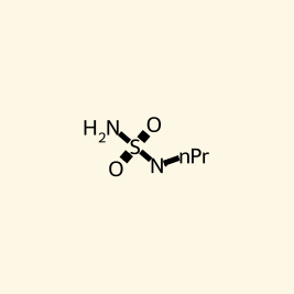 CCC[N]S(N)(=O)=O